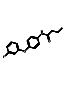 CCCC(=O)Nc1ccc(Oc2cccc(F)c2)cc1